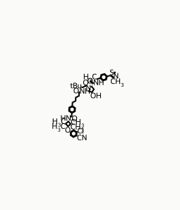 Cc1ncsc1-c1ccc(C(C)NC(=O)[C@@H]2C[C@@H](O)CN2C(=O)[C@@H](NC(=O)CCCCc2ccc(C(=O)NC3C(C)(C)C(Oc4ccc(C#N)c(Cl)c4)C3(C)C)cc2)C(C)(C)C)cc1